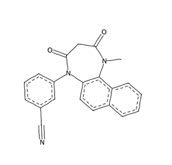 CN1C(=O)CC(=O)N(c2cccc(C#N)c2)c2ccc3ccccc3c21